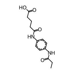 CCC(=O)Nc1ccc(NC(=O)CCCC(=O)O)cc1